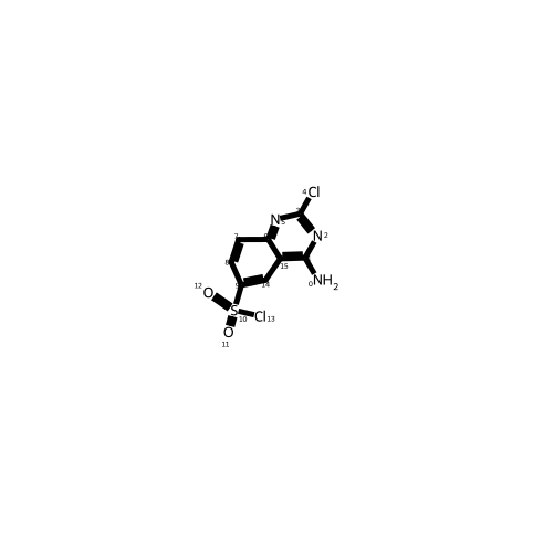 Nc1nc(Cl)nc2ccc(S(=O)(=O)Cl)cc12